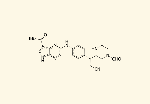 CC(C)(C)C(=O)c1c[nH]c2ncc(Nc3ccc(C(=CC#N)C4CN(C=O)CCN4)cc3)nc12